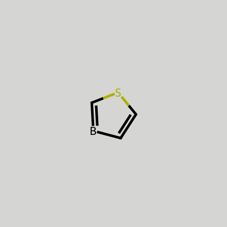 b1ccsc1